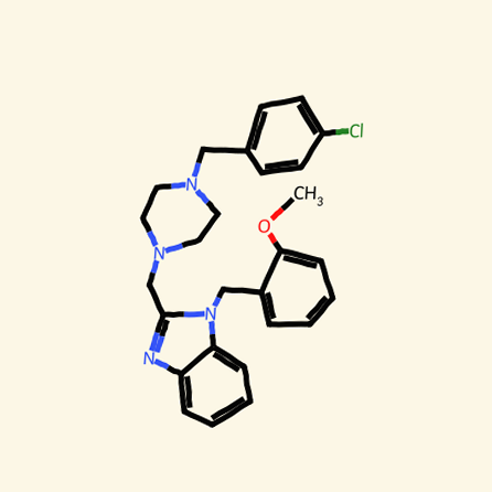 COc1ccccc1Cn1c(CN2CCN(Cc3ccc(Cl)cc3)CC2)nc2ccccc21